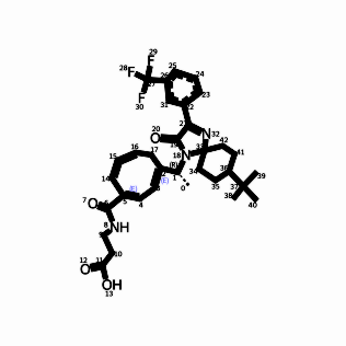 C[C@H](/C1=C/C=C(/C(=O)NCCC(=O)O)C=C=CC1)N1C(=O)C(c2cccc(C(F)(F)F)c2)=NC12CCC(C(C)(C)C)CC2